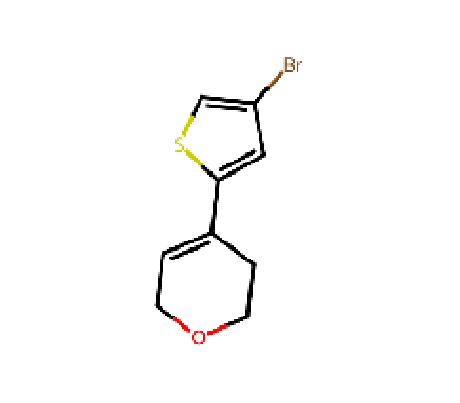 Brc1csc(C2=CCOCC2)c1